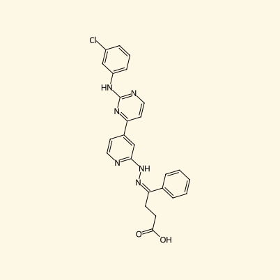 O=C(O)CCC(=NNc1cc(-c2ccnc(Nc3cccc(Cl)c3)n2)ccn1)c1ccccc1